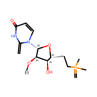 C=C1NC(=O)C=CN1[C@@H]1O[C@H](CCP(=C)(C)C)[C@@H](O)[C@H]1OCC